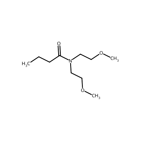 CCCC(=O)N(CCOC)CCOC